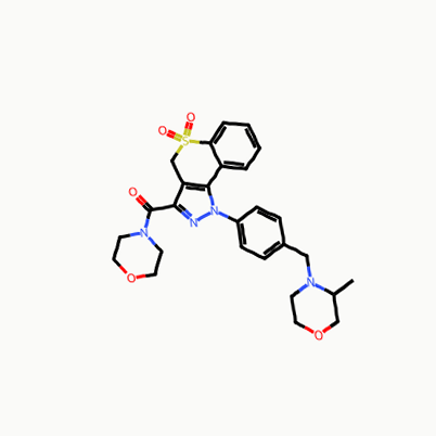 CC1COCCN1Cc1ccc(-n2nc(C(=O)N3CCOCC3)c3c2-c2ccccc2S(=O)(=O)C3)cc1